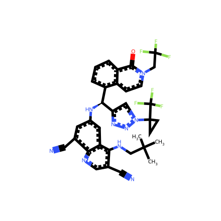 CC(C)(C)CNc1c(C#N)cnc2c(C#N)cc(N[C@H](c3cn(C4(C(F)(F)F)CC4)nn3)c3cccc4c(=O)n(CC(F)(F)F)ccc34)cc12